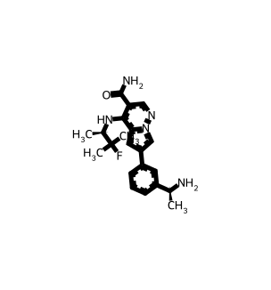 C[C@H](N)c1cccc(-c2cc3c(N[C@H](C)C(C)(C)F)c(C(N)=O)cnn3c2)c1